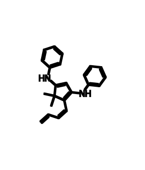 C=C/C=C\C1=C(Nc2ccccc2)C=C(Nc2ccccc2)C1(C)C